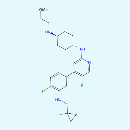 COCCN[C@H]1CC[C@H](Nc2cc(-c3ccc(F)c(NCC4(F)CC4)c3)c(F)cn2)CC1